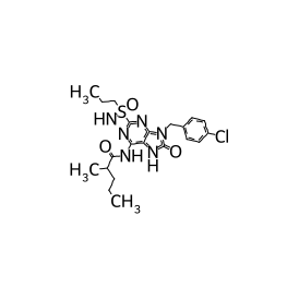 CCCC(C)C(=O)Nc1nc(S(=N)(=O)CCC)nc2c1[nH]c(=O)n2Cc1ccc(Cl)cc1